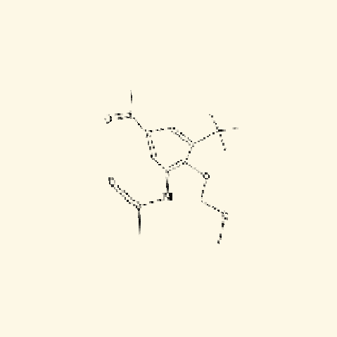 COCOc1c(NC(C)=O)cc(C(C)=O)cc1C(C)(C)C